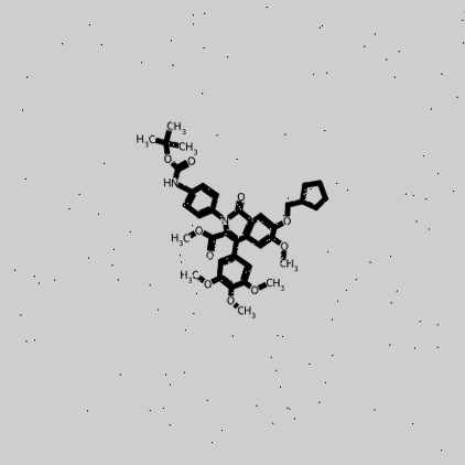 COC(=O)c1c(-c2cc(OC)c(OC)c(OC)c2)c2cc(OC)c(OCC3CCCC3)cc2c(=O)n1-c1ccc(NC(=O)OC(C)(C)C)cc1